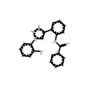 O=C(Oc1ccccc1-c1cn(-c2ccccc2Cl)nn1)c1ccccc1